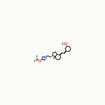 CC12CCC/C(=C\C=C3\CCCC(O)C3)C1CC[C@@H]2CCN1CC(OC(F)F)C1